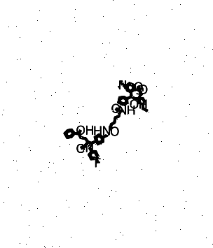 CCCCC1(CC)CS(=O)(=O)c2ccc(N(C)C)cc2C(c2cccc(NC(=O)CCCCC(=O)NCc3ccc(C4C(CCC(O)c5ccccc5)C(=O)N4c4ccc(F)cc4)cc3)c2)C1O